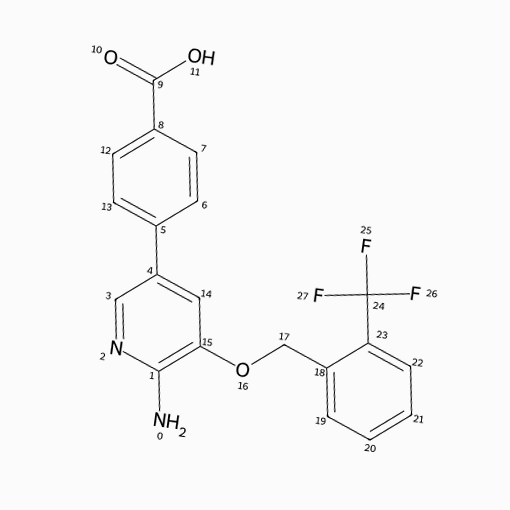 Nc1ncc(-c2ccc(C(=O)O)cc2)cc1OCc1ccccc1C(F)(F)F